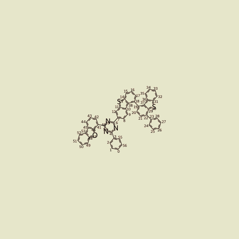 c1ccc(-c2nc(-c3ccc4c(c3)sc3cccc(-c5ccc(-c6ccccc6)c6sc7ccccc7c56)c34)nc(-c3cccc4c3oc3ccccc34)n2)cc1